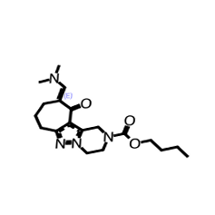 CCCCOC(=O)N1CCn2nc3c(c2C1)C(=O)/C(=C/N(C)C)CCC3